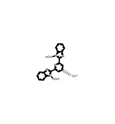 CCCCCCCCn1c(-c2cccc(-c3nc4ccccc4n3CCCCCCCC)n2)nc2ccccc21.[Cl-].[Cl-].[Cl-].[Co+3]